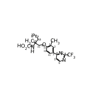 Cc1cc(-c2ccnc(C(F)(F)F)n2)ccc1OCC(C)(CC(C)C)NC(=O)O